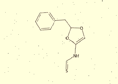 S=CNC1=COC(Cc2ccccc2)O1